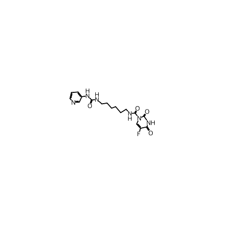 O=C(NCCCCCCNC(=O)n1cc(F)c(=O)[nH]c1=O)Nc1cccnc1